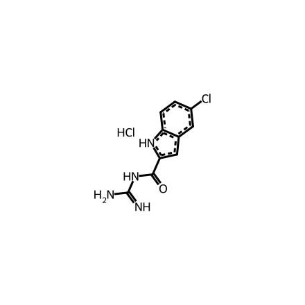 Cl.N=C(N)NC(=O)c1cc2cc(Cl)ccc2[nH]1